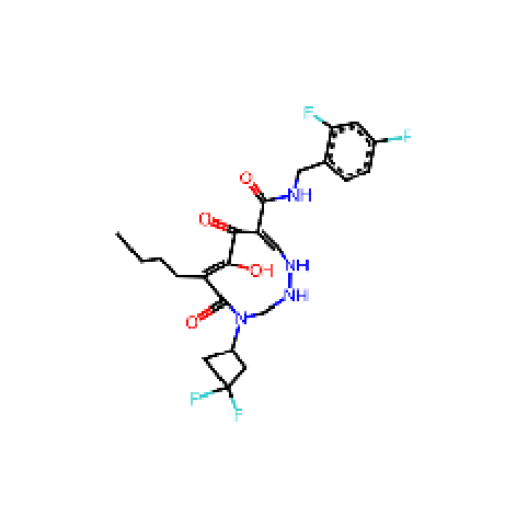 CCCC/C1=C(/O)C(=O)/C(C(=O)NCc2ccc(F)cc2F)=C\NNCN(C2CC(F)(F)C2)C1=O